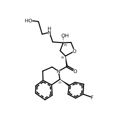 O=C([C@H]1C[C@@](O)(CNCCO)CO1)N1CCc2ccccc2[C@@H]1c1ccc(F)cc1